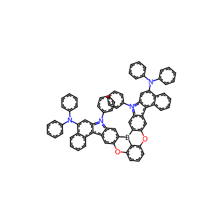 c1ccc(N(c2ccccc2)c2cc3c(c4ccccc24)c2cc4c(cc2n3-c2ccccc2)B2c3cc5c(cc3Oc3cccc(c32)O4)c2c3ccccc3c(N(c3ccccc3)c3ccccc3)cc2n5-c2ccccc2)cc1